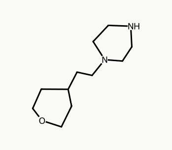 C1CN(CCC2CCOCC2)CCN1